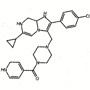 O=C(C1=CCNC=C1)N1CCN(CC2=C(c3ccc(Cl)cc3)NC3CNC(C4CC4)=CN23)CC1